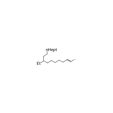 [CH2]C=CCCCCCC(CC)CCCCCCCC[CH2]